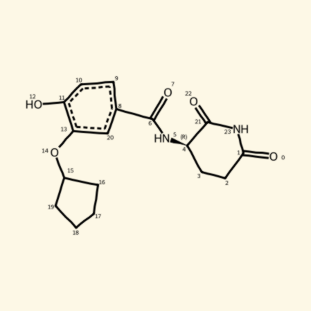 O=C1CC[C@@H](NC(=O)c2ccc(O)c(OC3CCCC3)c2)C(=O)N1